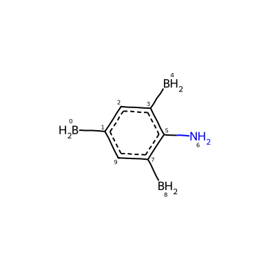 Bc1cc(B)c(N)c(B)c1